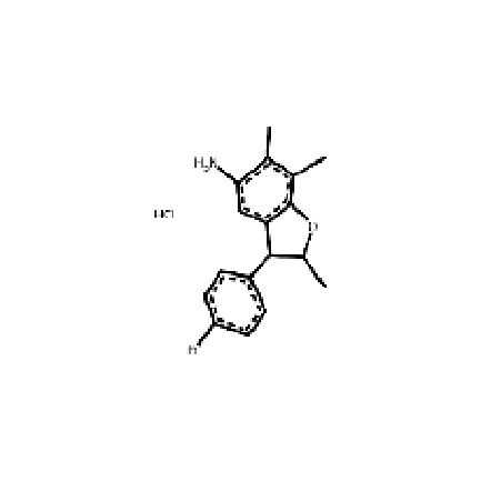 Cc1c(N)cc2c(c1C)OC(C)C2c1ccc(C(C)C)cc1.Cl